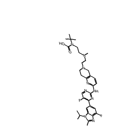 Cc1nc2c(F)cc(-c3nc(Nc4ccc5c(n4)CCN(CCN(C)CCN(C(=O)O)C(C)(C)C)C5)ncc3F)cc2n1C(C)C